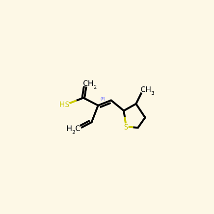 C=C/C(=C\C1SCCC1C)C(=C)S